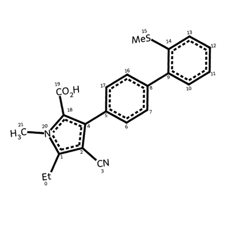 CCc1c(C#N)c(-c2ccc(-c3ccccc3SC)cc2)c(C(=O)O)n1C